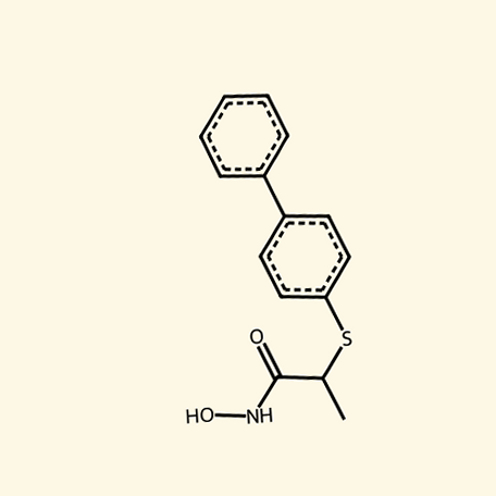 CC(Sc1ccc(-c2ccccc2)cc1)C(=O)NO